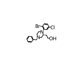 OCC[C@H]1CN(Cc2ccccc2)CCN1c1cc(Cl)ccc1Br